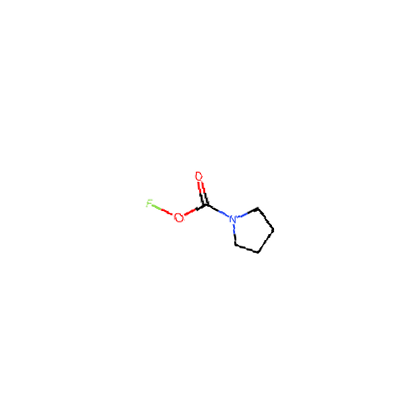 O=C(OF)N1CCCC1